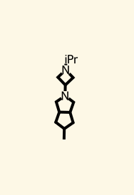 CC1CC2CN(C3CN(C(C)C)C3)CC2C1